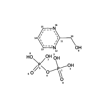 O=P(O)(O)OP(=O)(O)O.OCc1ncccn1